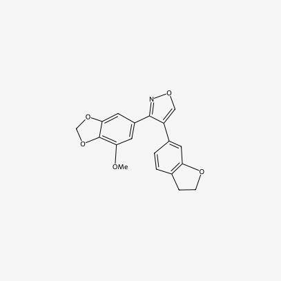 COc1cc(-c2nocc2-c2ccc3c(c2)OCC3)cc2c1OCO2